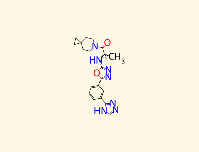 C[C@@H](Nc1nnc(-c2cccc(-c3nnc[nH]3)c2)o1)C(=O)N1CCC2(CC1)CC2